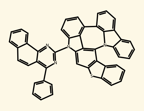 c1ccc(-c2nc(-n3c4cccc5c6cccc7c8ccccc8n(c67)c6c7c(cc3c6c54)sc3ccccc37)nc3c2ccc2ccccc23)cc1